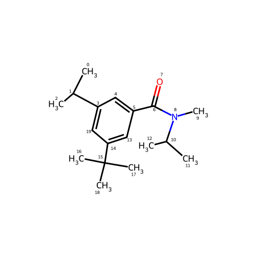 CC(C)c1cc(C(=O)N(C)C(C)C)cc(C(C)(C)C)c1